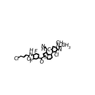 Cc1cc2c(nc(C)n2C)c(Cl)c1-c1cccn2c(C(=O)c3cc(F)c(NC(=O)/C=C/CCl)c(F)c3)cc(CC#N)c12